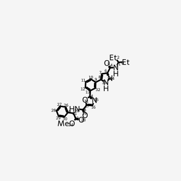 CCC(CC)NC(=O)c1cc(-c2cccc(-c3ncc(C(=O)N[C@H](C(=O)OC)c4ccccc4)o3)c2)[nH]n1